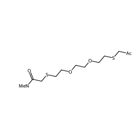 CNC(=O)CSCCOCCOCCSCC(C)=O